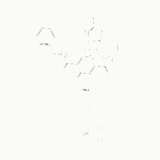 CC1=NO[C@@]2(CC[C@H](C)N3C[C@H]2n2cc(C(=O)NCc4ccc(F)cc4F)c(=O)c(OC(=O)OCCOP(=O)(O)O)c2C3=O)C1